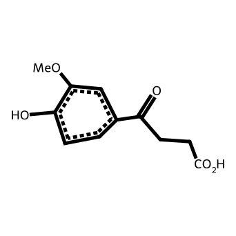 COc1cc(C(=O)CCC(=O)O)ccc1O